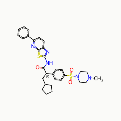 CN1CCN(S(=O)(=O)c2ccc([C@@H](CC3CCCC3)C(=O)Nc3nc4ccc(-c5ccccc5)nc4s3)cc2)CC1